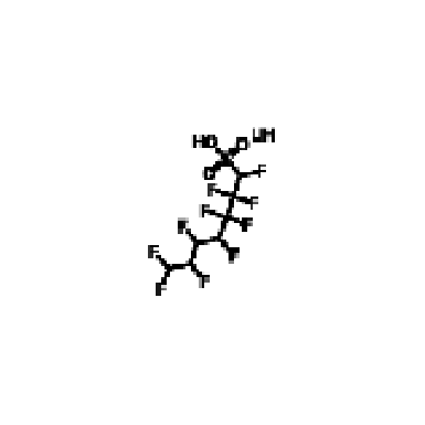 O=S(=O)(O)C(F)C(F)(F)C(F)(F)C(F)C(F)C(F)C(F)F.[LiH]